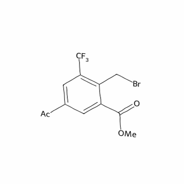 COC(=O)c1cc(C(C)=O)cc(C(F)(F)F)c1CBr